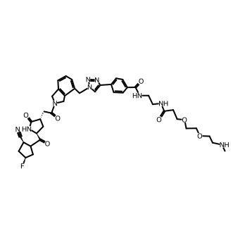 CNCCOCCOCCC(=O)NCCNC(=O)c1ccc(-c2cn(Cc3cccc4c3CN(C(=O)C[C@@H]3C[C@@H](C(=O)C5C[C@@H](F)C[C@H]5C#N)NC3=O)C4)nn2)cc1